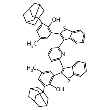 Cc1cc(-c2sc3ccccc3c2-c2cccc(-c3c(-c4cc(C)cc(C56CC7CC(CC(C7)C5)C6)c4O)sc4ccccc34)n2)c(O)c(C23CC4CC(CC(C4)C2)C3)c1